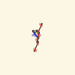 C=CC(=O)OCCCCCCOc1ccc(C(=O)Cc2ccc(OC(=O)c3ccc(OCCCCCCOC(=O)C=C)cc3)c(/C=N/Nc3nc(-c4ccccc4)c(-c4ccccc4)s3)c2)cc1